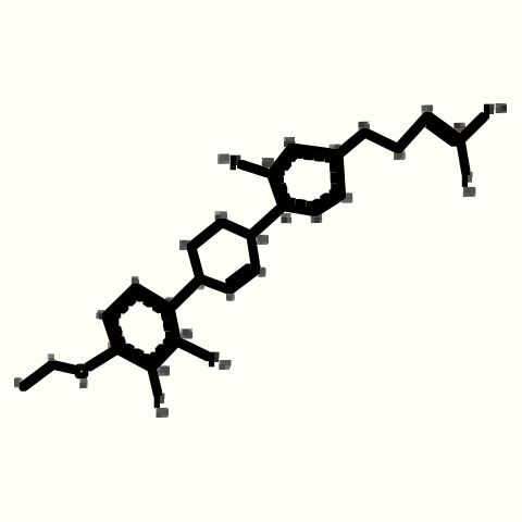 CCOc1ccc(C2C=CC(c3ccc(CCC=C(F)F)cc3F)CC2)c(F)c1F